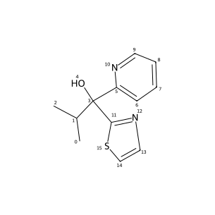 CC(C)C(O)(c1ccccn1)c1nccs1